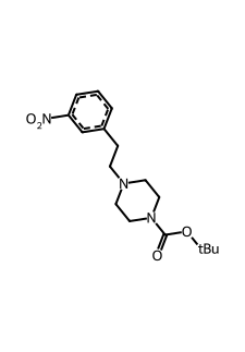 CC(C)(C)OC(=O)N1CCN(CCc2cccc([N+](=O)[O-])c2)CC1